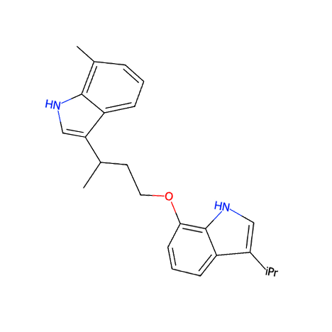 Cc1cccc2c(C(C)CCOc3cccc4c(C(C)C)c[nH]c34)c[nH]c12